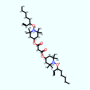 C=CC(CCCCC)ON1C(C)(C)CC(OC(=O)CC(=O)OC2CC(C)(C)N(OC(C=C)CCCCC)C(C)(C)C2)CC1(C)C